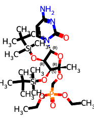 CCOP(=O)(CO[C@@]1(C)O[C@@H](n2ccc(N)nc2=O)[C@H](O[Si](C)(C)C(C)(C)C)[C@@H]1O[Si](C)(C)C(C)(C)C)OCC